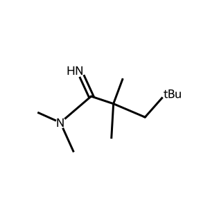 CN(C)C(=N)C(C)(C)CC(C)(C)C